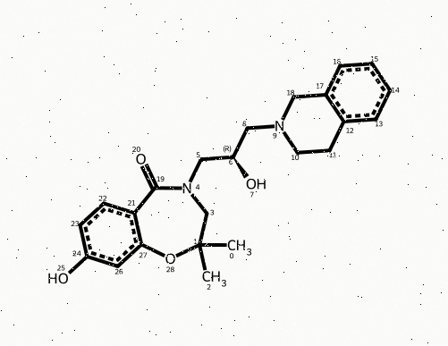 CC1(C)CN(C[C@H](O)CN2CCc3ccccc3C2)C(=O)c2ccc(O)cc2O1